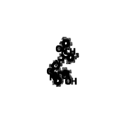 CN(CC(CCN1CCC(C(=O)c2nc3ccccc3n2Cc2ccc(CO)o2)CC1)c1ccccc1)C(=O)c1ccccc1